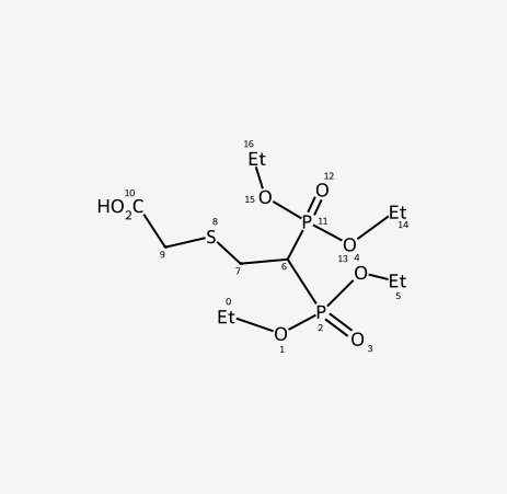 CCOP(=O)(OCC)C(CSCC(=O)O)P(=O)(OCC)OCC